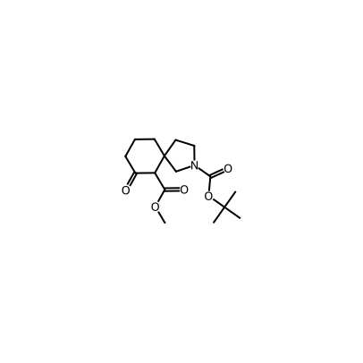 COC(=O)C1C(=O)CCCC12CCN(C(=O)OC(C)(C)C)C2